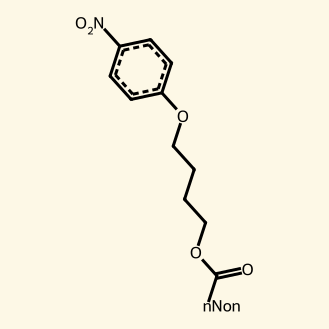 CCCCCCCCCC(=O)OCCCCOc1ccc([N+](=O)[O-])cc1